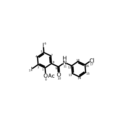 CC(=O)Oc1c(I)cc(I)cc1C(=O)Nc1cccc(Cl)c1